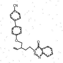 C=CC(CCn1nnc2ccccc2c1=O)COc1ccc(-c2ccc(C#N)cc2)cc1